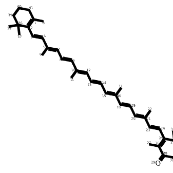 CC1=C(/C=C/C(C)=C/C=C/C(C)=C/C=C/C=C(C)/C=C/C=C(C)/C=C/C2=C(C)C(=O)[C@@H](O)CC2(C)C)C(C)(C)CCC1